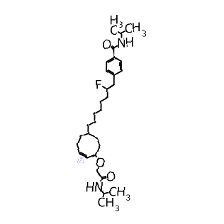 CC(C)NC(=O)COC1/C=C\CCC(CCCCCCC(F)Cc2ccc(C(=O)NC(C)C)cc2)CC1